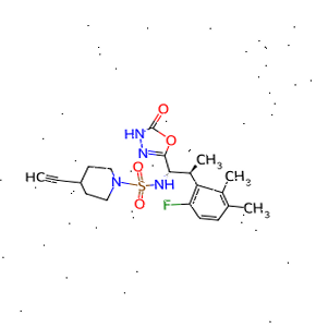 C#CC1CCN(S(=O)(=O)N[C@H](c2n[nH]c(=O)o2)[C@@H](C)c2c(F)ccc(C)c2C)CC1